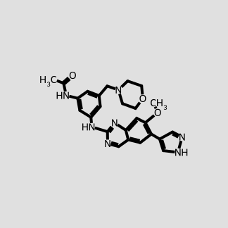 COc1cc2nc(Nc3cc(CN4CCOCC4)cc(NC(C)=O)c3)ncc2cc1-c1cn[nH]c1